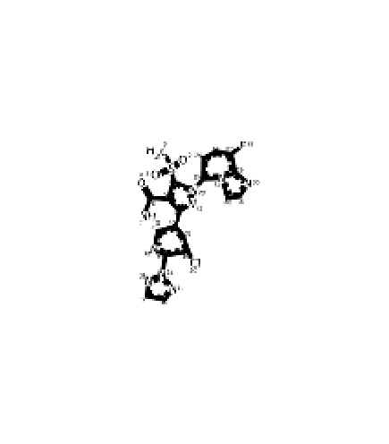 CS(=O)(=O)c1c(C(N)=O)c(-c2cnc(-n3nccn3)c(Cl)c2)nn1-c1ccc(F)c2nccn12